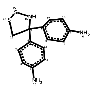 Nc1ccc(C2(c3ccc(N)cc3)CSSN2)cc1